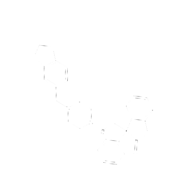 Cl.O=C(CC1(c2ccccc2)C(=O)Oc2ccccc21)N1CCN(Cc2ccc3c(c2)OCO3)CC1